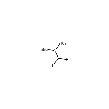 CCCCN(CCCC)C(F)F